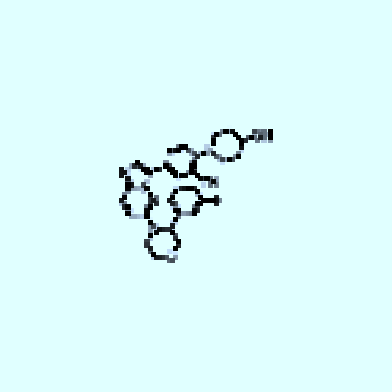 N#Cc1cc(-c2cnc3ccc(N4CCOCC4c4cccc(F)c4)nn23)ccc1N1CCC(O)CC1